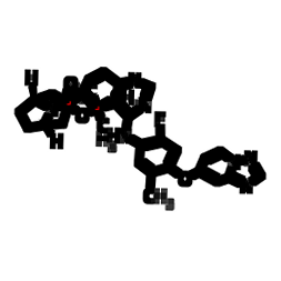 Cc1cc(Nc2ncnc3ccc(C4=C[C@H]5CC[C@@H](C4)N5C(=O)OC(C)(C)C)nc23)c(F)cc1Oc1ccn2ncnc2c1